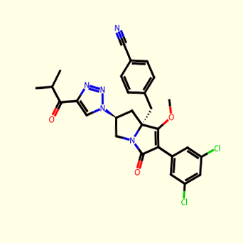 COC1=C(c2cc(Cl)cc(Cl)c2)C(=O)N2C[C@@H](n3cc(C(=O)C(C)C)nn3)C[C@@]12Cc1ccc(C#N)cc1